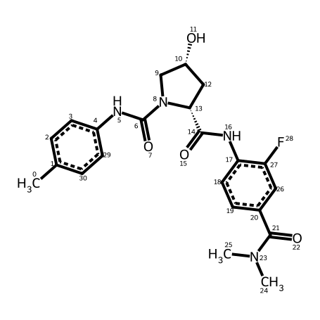 Cc1ccc(NC(=O)N2C[C@H](O)C[C@@H]2C(=O)Nc2ccc(C(=O)N(C)C)cc2F)cc1